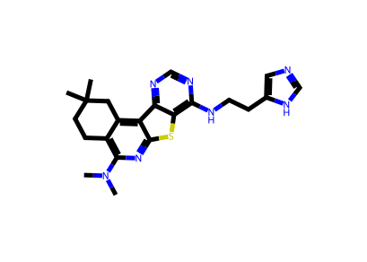 CN(C)c1nc2sc3c(NCCc4cnc[nH]4)ncnc3c2c2c1CCC(C)(C)C2